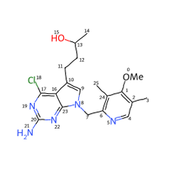 COc1c(C)cnc(Cn2cc(CCC(C)O)c3c(Cl)nc(N)nc32)c1C